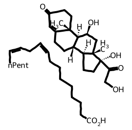 CCCCC/C=C\C/C=C\CCCCCCCC(=O)O.C[C@]12CCC(=O)C=C1CC[C@@H]1[C@@H]2[C@@H](O)C[C@@]2(C)[C@H]1CC[C@]2(O)C(=O)CO